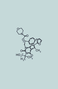 Cc1c(-c2ncco2)sc2c1c(=O)n(C(C)(C)C(=O)O)c(=O)n2C[C@@H](OC(=O)N1CCOCC1)c1ccccc1